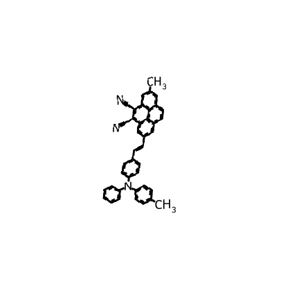 Cc1ccc(N(c2ccccc2)c2ccc(C=Cc3cc4ccc5cc(C)cc6c(C#N)c(C#N)c(c3)c4c56)cc2)cc1